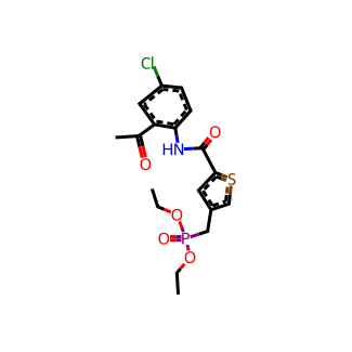 CCOP(=O)(Cc1csc(C(=O)Nc2ccc(Cl)cc2C(C)=O)c1)OCC